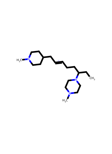 CCC(CC/C=C/CC1CCN(C)CC1)N1CCN(C)CC1